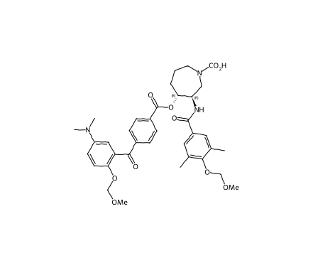 COCOc1ccc(N(C)C)cc1C(=O)c1ccc(C(=O)O[C@@H]2CCCN(C(=O)O)C[C@H]2NC(=O)c2cc(C)c(OCOC)c(C)c2)cc1